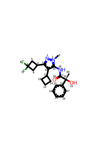 Cn1nc(C2CC(F)(F)C2)c(C2CCC2)c1NC(=O)[C@](C)(O)c1ccccc1